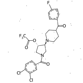 O=C(c1ccc(F)cc1)C1CCN([C@H]2CN(C(=O)c3ccc(Cl)c(Cl)c3)C[C@@H]2OC(=O)C(F)(F)F)CC1